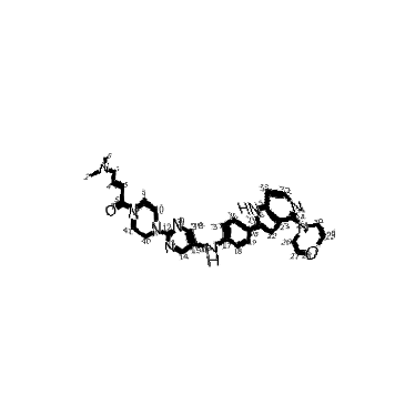 CN(C)C/C=C/C(=O)N1CCN(c2ncc(Nc3ccc(-c4cc5c(N6CCOCC6)nccc5[nH]4)cc3)cn2)CC1